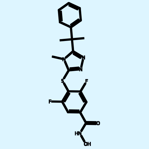 Cn1c(Sc2c(F)cc(C(=O)NO)cc2F)nnc1C(C)(C)c1ccccc1